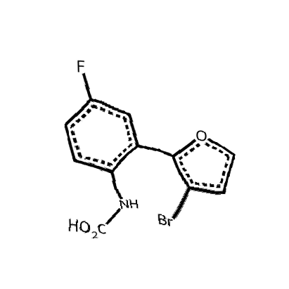 O=C(O)Nc1ccc(F)cc1-c1occc1Br